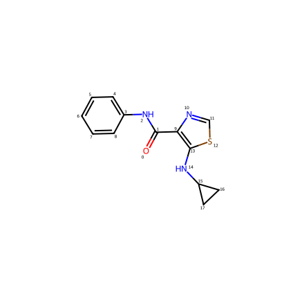 O=C(Nc1ccccc1)c1ncsc1NC1CC1